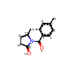 Cc1ccc(C(=O)N2C(=O)CCC2C)cc1